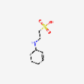 O=S(=O)(O)CCNC1C=CCCC1